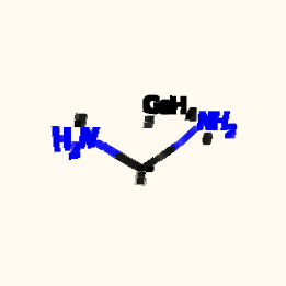 N[CH]N.[GeH4]